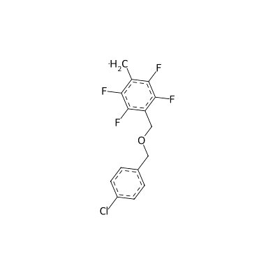 [CH2]c1c(F)c(F)c(COCc2ccc(Cl)cc2)c(F)c1F